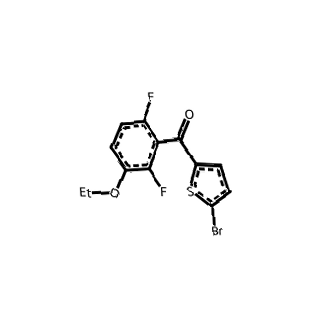 CCOc1ccc(F)c(C(=O)c2ccc(Br)s2)c1F